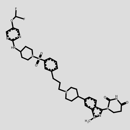 Cn1nc(N2CCC(=O)NC2=O)c2ccc(C3CCN(CCCc4cccc(S(=O)(=O)N5CCC(Nc6ncc(OC(F)F)cn6)CC5)c4)CC3)cc21